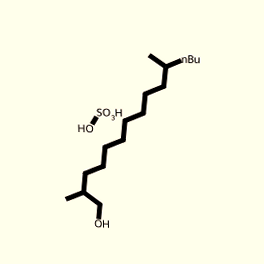 CCCCC(C)CCCCCCCCC(C)CO.O=S(=O)(O)O